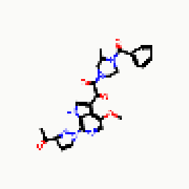 COc1cnc(-n2ccc(C(C)=O)n2)c2[nH]cc(C(=O)C(=O)N3CCN(C(=O)c4ccccc4)C(C)C3)c12